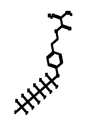 C=C(C)C(=O)OCCc1ccc(OC(F)(F)C(F)(F)C(F)(F)C(F)(F)C(F)(F)C(F)(F)F)cc1